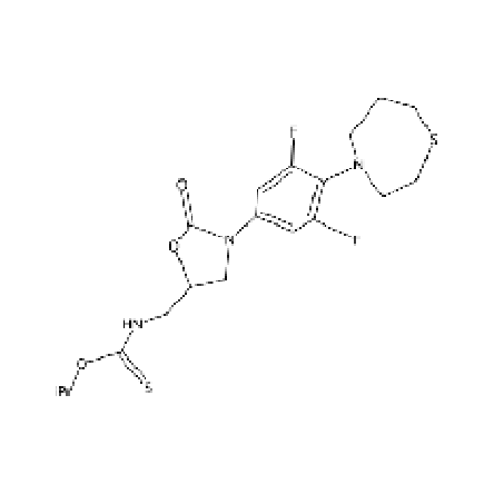 CC(C)OC(=S)NCC1CN(c2cc(F)c(N3CCCSCC3)c(F)c2)C(=O)O1